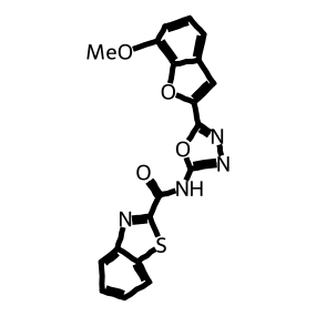 COc1cccc2cc(-c3nnc(NC(=O)c4nc5ccccc5s4)o3)oc12